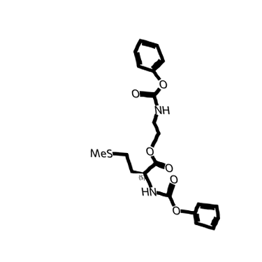 CSCC[C@H](NC(=O)Oc1ccccc1)C(=O)OCCNC(=O)Oc1ccccc1